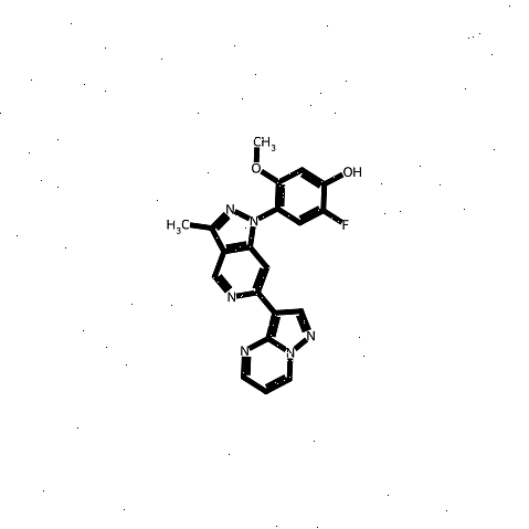 COc1cc(O)c(F)cc1-n1nc(C)c2cnc(-c3cnn4cccnc34)cc21